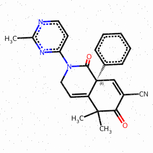 Cc1nccc(N2CC=C3C(C)(C)C(=O)C(C#N)=C[C@]3(c3ccccc3)C2=O)n1